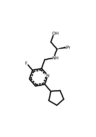 CC(C)[C@H](CO)NCc1nc(C2CCCC2)ccc1F